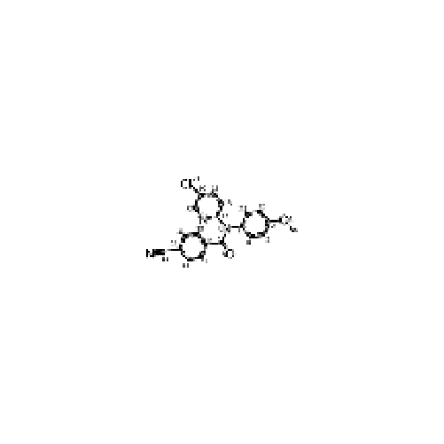 COc1ccc(N(C(=O)c2ccc(C#N)cc2)c2ccc(Cl)cn2)cc1